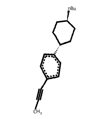 CC#Cc1ccc([C@H]2CC[C@H](CCCC)CC2)cc1